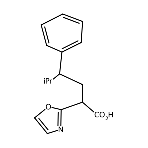 CC(C)C(CC(C(=O)O)c1ncco1)c1ccccc1